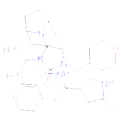 CC(C)N1C(=O)N(CC2CCOCC2)CC12CC1CCC(C2)N1CC[C@H](NC(=O)C1CNC(=O)C1)c1ccccc1